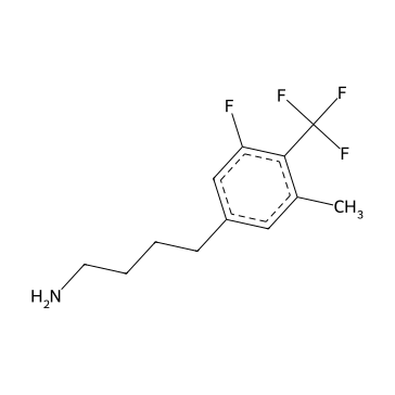 Cc1cc(CCCCN)cc(F)c1C(F)(F)F